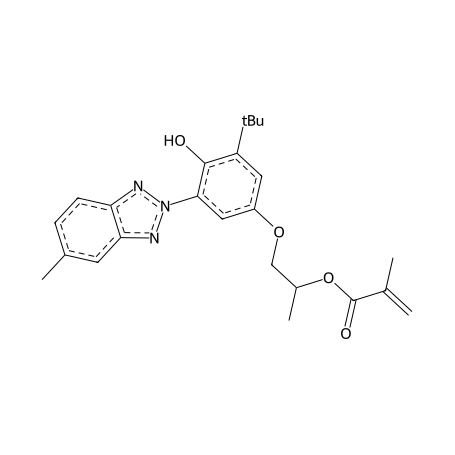 C=C(C)C(=O)OC(C)COc1cc(-n2nc3ccc(C)cc3n2)c(O)c(C(C)(C)C)c1